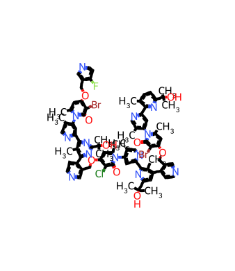 Cc1cnc(-c2nc(C(C)(C)O)cc(-c3ccncc3COc3cc(C)n(-c4cc(-c5nc(C(C)(C)O)ccc5C)ncc4C)c(=O)c3Br)c2C)cc1-n1c(C)cc(OCc2cnccc2-c2nc(C(C)(C)O)nc(-c3cc(-n4c(C)cc(OCc5cnccc5F)c(Br)c4=O)c(C)cn3)c2C)c(Cl)c1=O